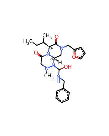 CCC(C)[C@H]1C(=O)N(Cc2ccco2)C[C@H]2N1C(=O)CN(C)N2C(O)NCc1ccccc1